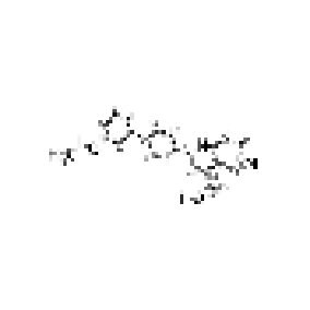 CCOc1cccc(-c2ccc(-c3cc(C(=O)O)c4cc(F)ccc4n3)cc2)c1